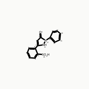 O=c1cc(-c2ccccc2S(=O)(=O)O)[nH]n1-c1ccccc1